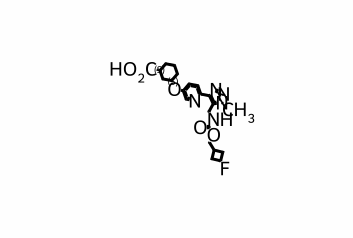 Cn1nnc(-c2ccc(O[C@H]3CCC[C@H](C(=O)O)C3)cn2)c1CNC(=O)OCC1CC(F)C1